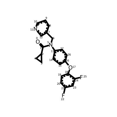 O=C(C1CC1)N(Cc1cccnc1)c1ccc(Oc2ccc(F)cc2F)cc1